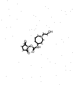 O=C(NC1CCCN(CCO)CC1)ON1C(=O)CCC1=O